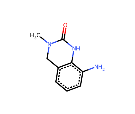 CN1Cc2cccc(N)c2NC1=O